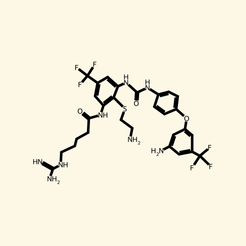 N=C(N)NCCCCC(=O)Nc1cc(C(F)(F)F)cc(NC(=O)Nc2ccc(Oc3cc(N)cc(C(F)(F)F)c3)cc2)c1SCCN